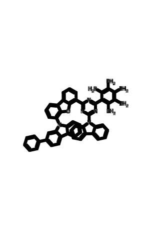 Bc1c(B)c(B)c(-c2nc(-c3cccc4c3oc3c(-n5c6ccccc6c6ccc(-c7ccccc7)cc65)cccc34)nc(-n3c4ccccc4c4ccccc43)n2)c(B)c1B